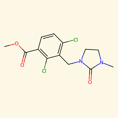 COC(=O)c1ccc(Cl)c(CN2CCN(C)C2=O)c1Cl